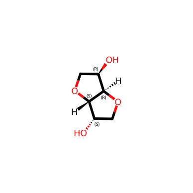 O[C@@H]1CO[C@@H]2[C@@H]1OC[C@@H]2O